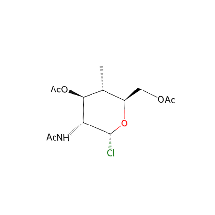 CC(=O)N[C@@H]1[C@@H](OC(C)=O)[C@H](C)[C@@H](COC(C)=O)O[C@@H]1Cl